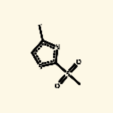 [CH2]c1csc(S(C)(=O)=O)n1